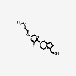 COCCOc1cnc(N2CCN3C(CO)CCC3C2)c(F)c1